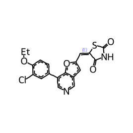 CCOc1ccc(-c2cncc3cc(/C=C4/SC(=O)NC4=O)oc23)cc1Cl